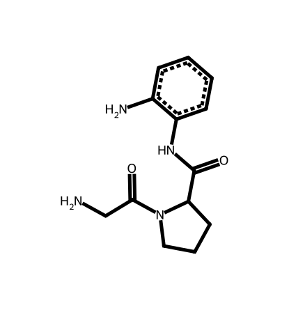 NCC(=O)N1CCCC1C(=O)Nc1ccccc1N